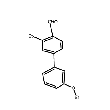 CCOc1cccc(-c2ccc(C=O)c(CC)c2)c1